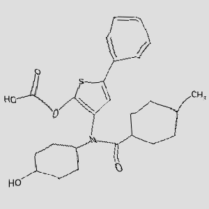 CC1CCC(C(=O)N(c2cc(-c3ccccc3)sc2OC(=O)O)C2CCC(O)CC2)CC1